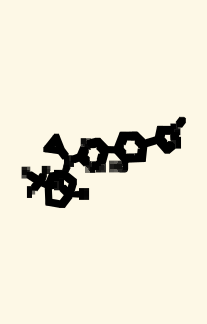 Cn1cc(-c2ccc(-c3cnc(N(C4CC4)[C@H]4C[C@@H]5CC[C@](C(F)(F)F)(C4)N5)nn3)c(O)c2)cn1